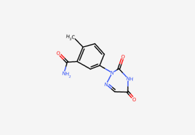 Cc1ccc(-n2ncc(=O)[nH]c2=O)cc1C(N)=O